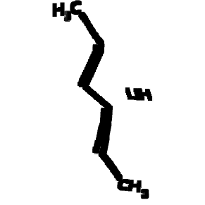 C/C=C/C=C/C.[LiH]